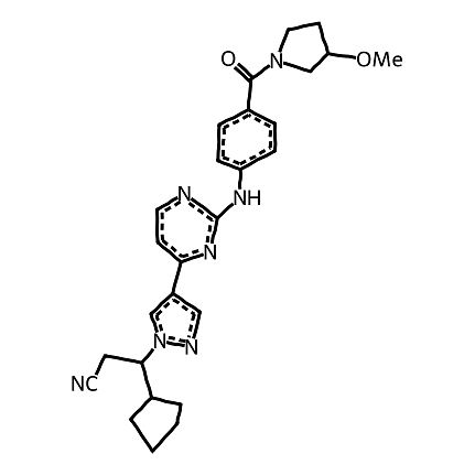 COC1CCN(C(=O)c2ccc(Nc3nccc(-c4cnn(C(CC#N)C5CCCC5)c4)n3)cc2)C1